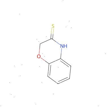 S=C1COc2ccccc2N1